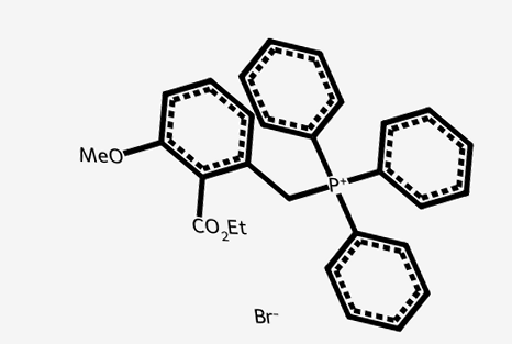 CCOC(=O)c1c(C[P+](c2ccccc2)(c2ccccc2)c2ccccc2)cccc1OC.[Br-]